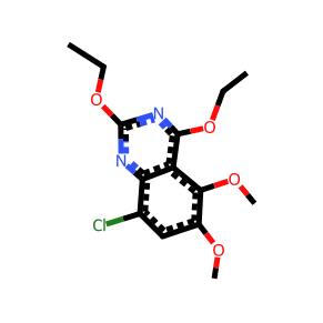 CCOc1nc(OCC)c2c(OC)c(OC)cc(Cl)c2n1